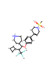 CS(=O)(=O)N1CC=C(c2ccc(OC(C3CCNCC3)C(C3CCC3)C(F)(F)F)cc2)CC1